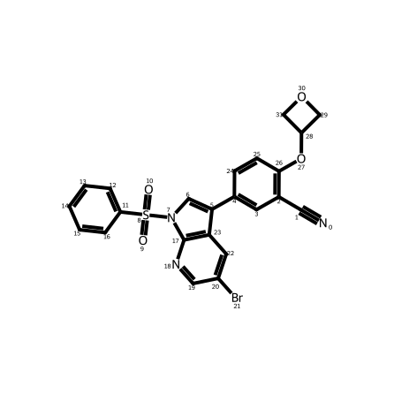 N#Cc1cc(-c2cn(S(=O)(=O)c3ccccc3)c3ncc(Br)cc23)ccc1OC1COC1